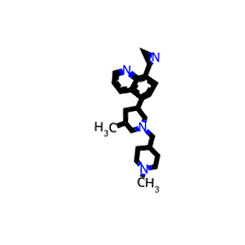 CC1CC(c2ccc(C3C=N3)c3ncccc23)CN(CC2CCN(C)CC2)C1